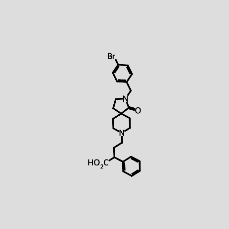 O=C(O)C(CCN1CCC2(CC1)CCN(Cc1ccc(Br)cc1)C2=O)c1ccccc1